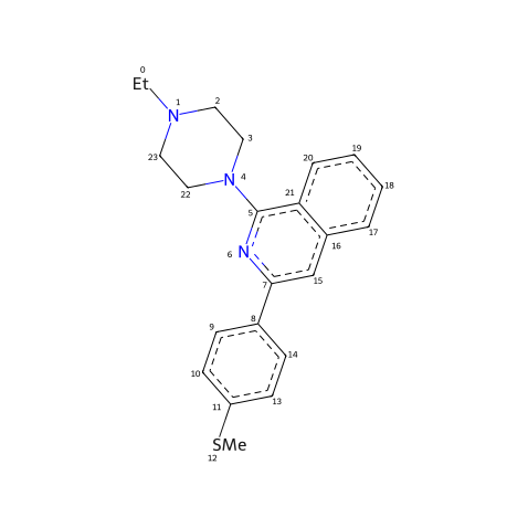 CCN1CCN(c2nc(-c3ccc(SC)cc3)cc3ccccc23)CC1